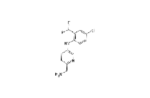 NCc1ccc(Nc2ccc(Cl)cc2C(F)F)cn1